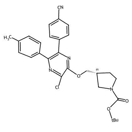 Cc1ccc(-c2nc(Cl)c(OC[C@@H]3CCN(C(=O)OC(C)(C)C)C3)nc2-c2ccc(C#N)cc2)cc1